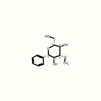 CO[C@@H]1[C@@H](O)[C@H](c2ccccc2)O[C@H](CO)[C@H]1O